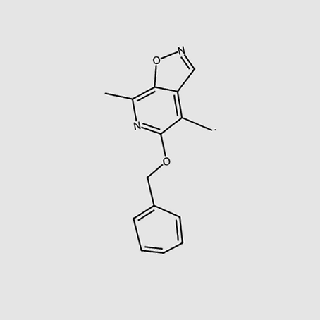 [CH2]c1c(OCc2ccccc2)nc(C)c2oncc12